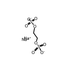 O=S(=O)([O-])OCCOS(=O)(=O)[O-].[Na+].[Na+]